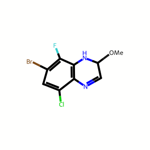 COC1C=Nc2c(Cl)cc(Br)c(F)c2N1